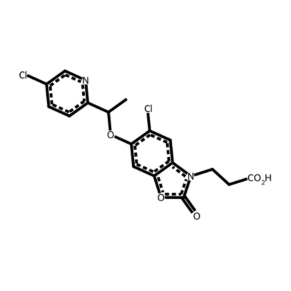 CC(Oc1cc2oc(=O)n(CCC(=O)O)c2cc1Cl)c1ccc(Cl)cn1